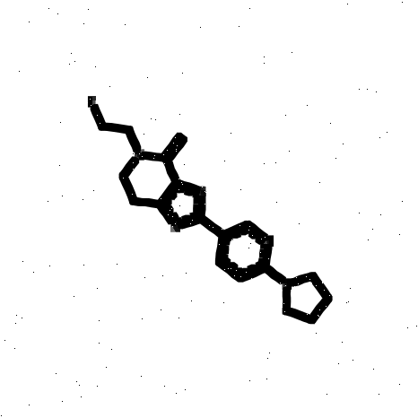 C=C1c2sc(-c3ccc(N4CCCC4)nc3)nc2CCN1CCF